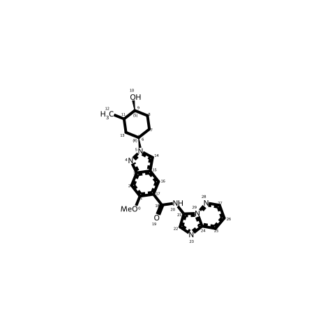 COc1cc2nn([C@@H]3CC[C@H](O)C(C)C3)cc2cc1C(=O)Nc1cnc2cccnn12